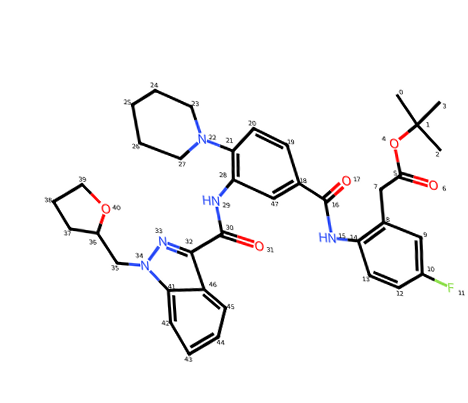 CC(C)(C)OC(=O)Cc1cc(F)ccc1NC(=O)c1ccc(N2CCCCC2)c(NC(=O)c2nn(CC3CCCO3)c3ccccc23)c1